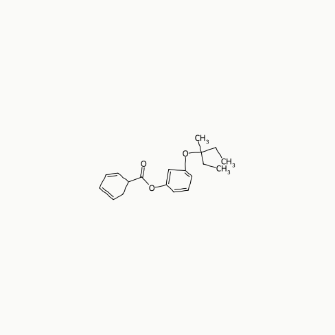 CCC(C)(CC)Oc1cccc(OC(=O)C2C=CC=CC2)c1